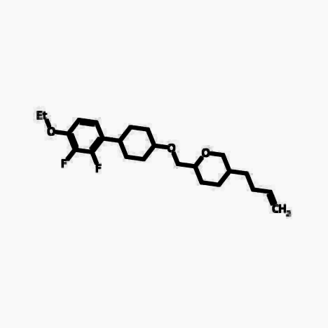 C=CCCC1CCC(COC2CCC(c3ccc(OCC)c(F)c3F)CC2)OC1